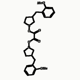 COc1ccccc1CC1CCN(OC(=O)C(=O)ON2CCC(Cc3ccccc3OC)C2)C1